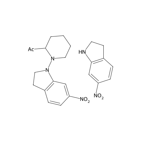 CC(=O)C1CCCCN1N1CCc2ccc([N+](=O)[O-])cc21.O=[N+]([O-])c1ccc2c(c1)NCC2